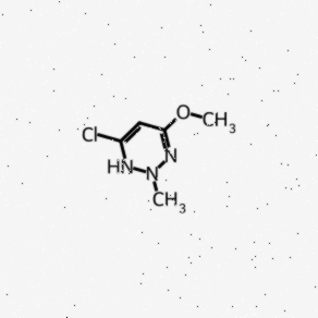 COC1=NN(C)NC(Cl)=C1